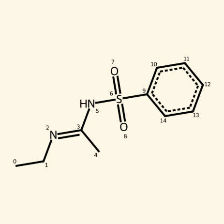 CC/N=C(\C)NS(=O)(=O)c1ccccc1